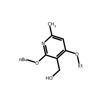 CCCCOc1nc(C)cc(OCC)c1CO